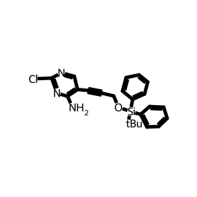 CC(C)(C)[Si](OCC#Cc1cnc(Cl)nc1N)(c1ccccc1)c1ccccc1